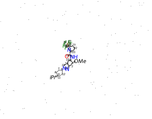 COc1cc2nn([C@H]3CC[C@H](C(C)C)CC3)cc2cc1NC(=O)c1cccc(S(F)(F)(F)(F)F)n1